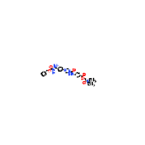 CN(C)C(=O)COC(=O)[C@H]1CC[C@H](NC(=O)N2CCN(c3ccc(C(=N)NC(=O)OCc4ccccc4)cc3)CC2)CC1